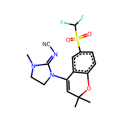 CN1CCN(C2=CC(C)(C)Oc3ccc(S(=O)(=O)C(F)F)cc32)C1=NC#N